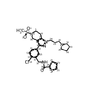 CS(=O)(=O)N1CCc2c(c(-c3ccc(Cl)c(CNC(=O)c4cccs4)c3)nn2CCCN2CCCC2)C1